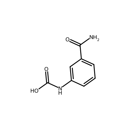 NC(=O)c1cccc(NC(=O)O)c1